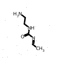 CC=NC(=O)NCCN